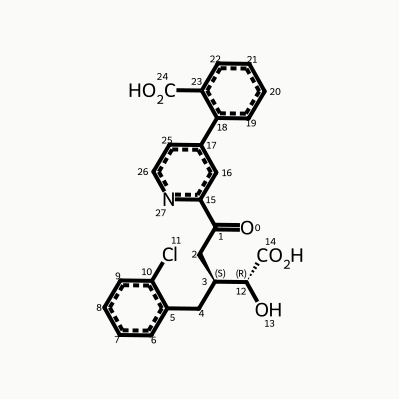 O=C(C[C@H](Cc1ccccc1Cl)[C@@H](O)C(=O)O)c1cc(-c2ccccc2C(=O)O)ccn1